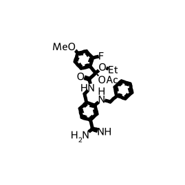 CCO[C@@](OC(C)=O)(C(=O)NCc1ccc(C(=N)N)cc1NCc1ccccc1)c1ccc(OC)cc1F